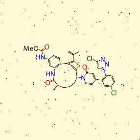 C=C(C)c1sc2cc1-c1ccc(NC(=O)OC)cc1NC(=O)[C@H](C)CCC[C@@H]2n1ccc(-c2cc(Cl)ccc2-n2cc(Cl)nn2)cc1=O